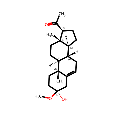 CO[C@@]1(O)CC[C@@]2(C)C(=CC[C@H]3[C@@H]4CC[C@H](C(C)=O)[C@@]4(C)CC[C@@H]32)C1